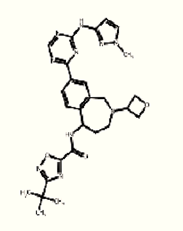 Cn1ccc(Nc2ncnc(-c3ccc4c(c3)CN(C3COC3)CCC4NC(=O)c3nc(C(C)(C)C)no3)n2)n1